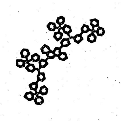 c1ccc([Si](c2ccccc2)(c2ccccc2)c2cccc(-c3cccc(N(c4ccc(-c5cc6c7ccccc7c(-c7ccc(N(c8cccc(-c9cccc([Si](c%10ccccc%10)(c%10ccccc%10)c%10ccccc%10)c9)c8)c8cccc([Si](c9ccccc9)(c9ccccc9)c9ccccc9)c8)cc7)cc6c6ccccc56)cc4)c4cccc([Si](c5ccccc5)(c5ccccc5)c5ccccc5)c4)c3)c2)cc1